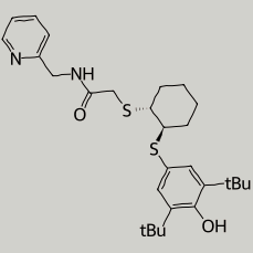 CC(C)(C)c1cc(S[C@@H]2CCCC[C@H]2SCC(=O)NCc2ccccn2)cc(C(C)(C)C)c1O